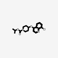 CC(C)OC(=O)N1CCC(Oc2ccnc3c(Cl)cccc23)CC1